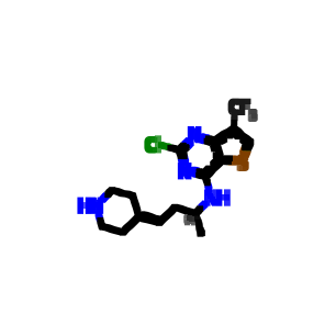 C[C@@H](CC=C1CCNCC1)Nc1nc(Cl)nc2c(C(F)(F)F)csc12